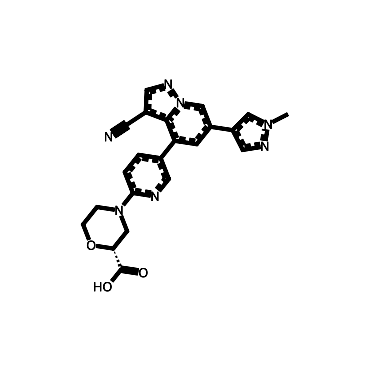 Cn1cc(-c2cc(-c3ccc(N4CCO[C@@H](C(=O)O)C4)nc3)c3c(C#N)cnn3c2)cn1